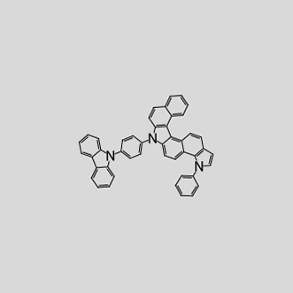 c1ccc(-n2ccc3ccc4c(ccc5c4c4c6ccccc6ccc4n5-c4ccc(-n5c6ccccc6c6ccccc65)cc4)c32)cc1